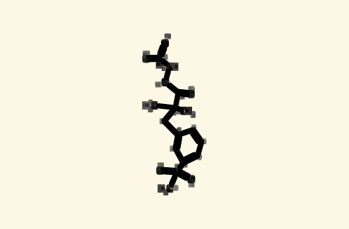 CC(C)(Cc1cccc(S(C)(=O)=O)c1)C(=O)ON[SH](=O)=O